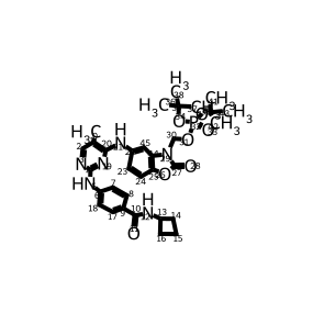 Cc1cnc(Nc2ccc(C(=O)NC3CCC3)cc2)nc1Nc1ccc2oc(=O)n(COP(=O)(OC(C)(C)C)OC(C)(C)C)c2c1